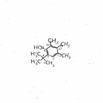 Cc1cc(C(C)(C)C)c(O)c(C)c1C